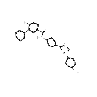 O=C(Nc1ccc(-c2ncn(-c3ccc(C(F)(F)F)cc3)n2)cc1)c1ccc(F)c(-c2ccccc2)c1